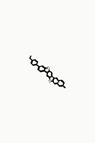 CCc1ccc(-c2ccc3c(c2)oc2cc4c(cc23)oc2cc3cc(C)ccc3cc24)cc1